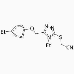 CCc1ccc(OCc2nnc(SCC#N)n2CC)cc1